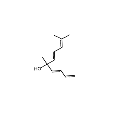 C=CC=CC(C)(O)C=CC=C(C)C